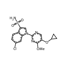 COc1nc(-n2cc(S(N)(=O)=O)c3ccc(Cl)cc32)ncc1OC1CC1